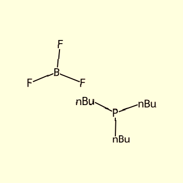 CCCCP(CCCC)CCCC.FB(F)F